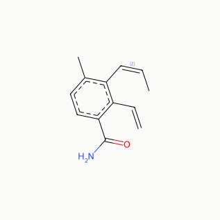 C=Cc1c(C(N)=O)ccc(C)c1/C=C\C